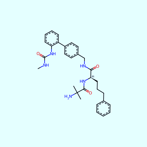 CNC(=O)Nc1ccccc1-c1ccc(CNC(=O)[C@@H](CCCc2ccccc2)NC(=O)C(C)(C)N)cc1